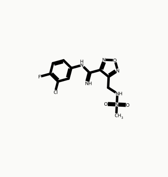 CS(=O)(=O)NCc1nonc1C(=N)Nc1ccc(F)c(Cl)c1